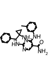 Cc1cccc(Nc2nc(N[C@H](c3ccccc3)C3(N)CC3)ncc2C(N)=O)c1